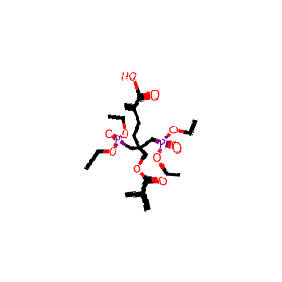 C=C(C)C(=O)OCC(CCC(=C)C(=O)O)(CP(=O)(OCC)OCC)CP(=O)(OCC)OCC